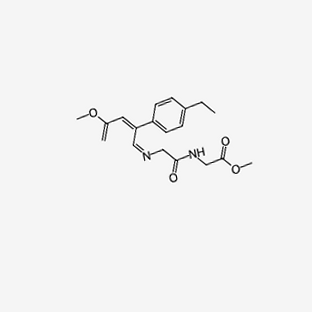 C=C(/C=C(\C=N/CC(=O)NCC(=O)OC)c1ccc(CC)cc1)OC